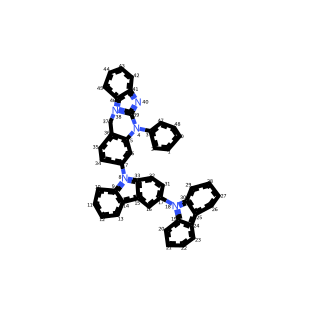 c1ccc(N2c3cc(-n4c5ccccc5c5cc(-n6c7ccccc7c7ccccc76)ccc54)ccc3Cn3c2nc2ccccc23)cc1